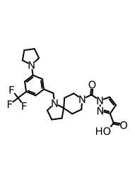 O=C(O)c1ccn(C(=O)N2CCC3(CCCN3Cc3cc(N4CCCC4)cc(C(F)(F)F)c3)CC2)n1